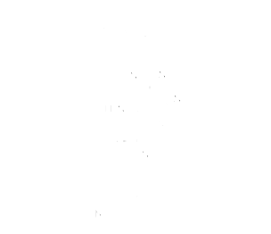 CN(C)Cc1ccc(NC(=O)c2sc3ncnc(Nc4ccc(F)c(Cl)c4)c3c2N)cc1